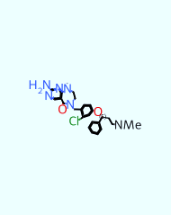 CNCC[C@H](Oc1ccc(CN2CCN(C)c3nc(N)ncc3C2=O)c(Cl)c1)c1ccccc1